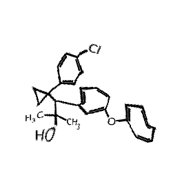 CC(C)(O)C(c1cccc(Oc2ccccc2)c1)C1(c2ccc(Cl)cc2)CC1